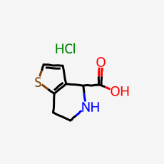 Cl.O=C(O)C1NCCc2sccc21